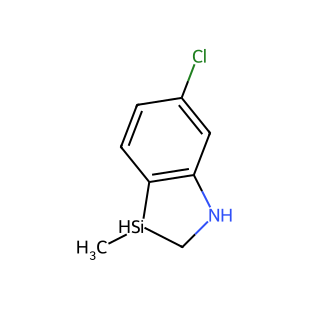 C[SiH]1CNc2cc(Cl)ccc21